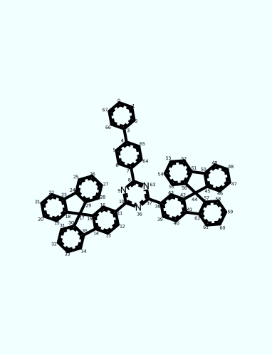 c1ccc(-c2ccc(-c3nc(-c4ccc5c(c4)C4(c6ccccc6-c6ccccc64)c4ccccc4-5)nc(-c4ccc5c(c4)C4(c6ccccc6-c6ccccc64)c4ccccc4-5)n3)cc2)cc1